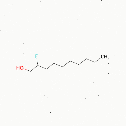 CCCCCCCCC(F)CO